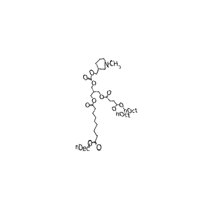 CCCCCCCCCCOC(=O)CCCCCCCC(=O)OCC(COC(=O)CCC(OCCCCCCCC)OCCCCCCCC)COC(=O)OCC1CCCN(C)C1